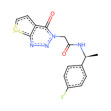 C[C@H](NC(=O)Cn1nnc2sccc2c1=O)c1ccc(F)cc1